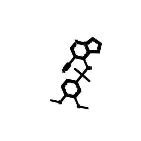 COc1ccc(C(C)(C)Nc2c(C#N)cnn3cccc23)cc1OC